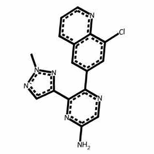 Cn1ncc(-c2nc(N)cnc2-c2cc(Cl)c3ncccc3c2)n1